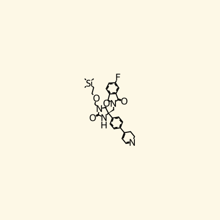 C[Si](C)(C)CCOCN1C(=O)N[C@@](CN2Cc3ccc(F)cc3C2=O)(c2ccc(C3=CC=NCC3)cc2)C1=O